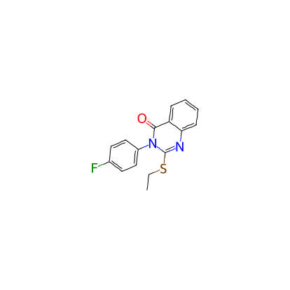 CCSc1nc2ccccc2c(=O)n1-c1ccc(F)cc1